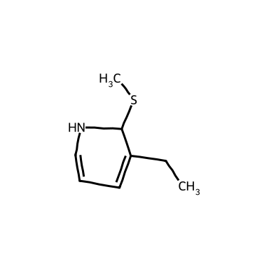 CCC1=CC=CNC1SC